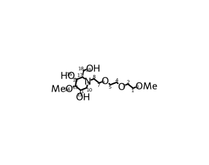 COCCOCCOCCN1C[C@H](O)[C@@H](OC)[C@H](O)[C@H]1CO